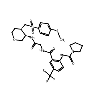 CSc1ccc(S(=O)(=O)C[C@@H]2CCOC[C@@H]2NC(=O)CNC(=O)c2cc(C(F)(F)F)ccc2NC(=O)N2CCCC2)cc1